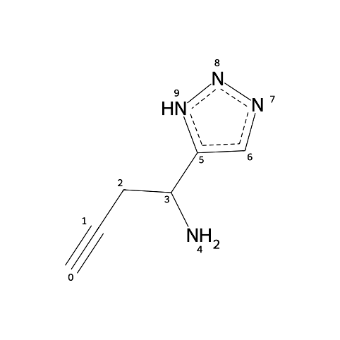 C#CCC(N)c1cnn[nH]1